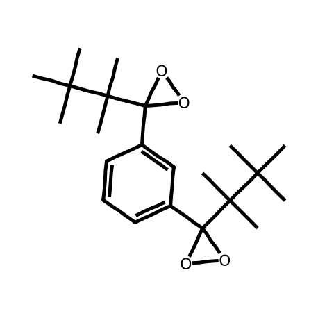 CC(C)(C)C(C)(C)C1(c2cccc(C3(C(C)(C)C(C)(C)C)OO3)c2)OO1